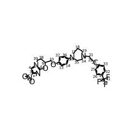 O=[N+]([O-])c1cn2c(n1)OC(COc1ccc(N3CCCN(CCCc4ccc(C(F)(F)F)cc4)CC3)cc1)CC2